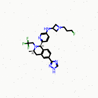 C[C@@H]1Cc2cc(-c3nc[nH]n3)ccc2[C@H](c2ccc(NC3CN(CCCF)C3)cn2)N1CC(F)(F)F